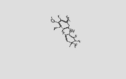 COc1c(F)c(F)c(BC2=C(F)C(F)C(C)(F)C=C2F)c(F)c1F